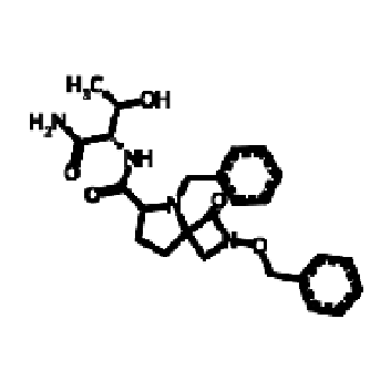 C[C@@H](O)[C@H](NC(=O)C1CCC2(CN(OCc3ccccc3)C2=O)N1Cc1ccccc1)C(N)=O